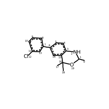 CC1Nc2ccc(-c3cccc(Cl)c3)cc2C(C)(C)O1